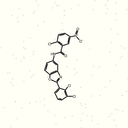 O=C(Nc1ccc2oc(-c3cccc(Cl)c3Cl)nc2c1)c1cc([N+](=O)[O-])ccc1Cl